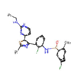 COc1ccc(F)cc1[S+]([O-])Nc1cccc(-c2nc(C(C)C)sc2-c2ccnc(NCC(C)C)n2)c1F